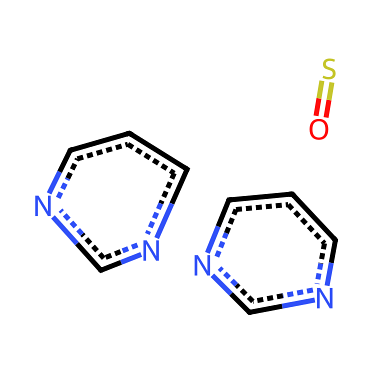 O=S.c1cncnc1.c1cncnc1